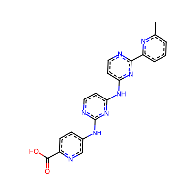 Cc1cccc(-c2nccc(Nc3ccnc(Nc4ccc(C(=O)O)nc4)n3)n2)n1